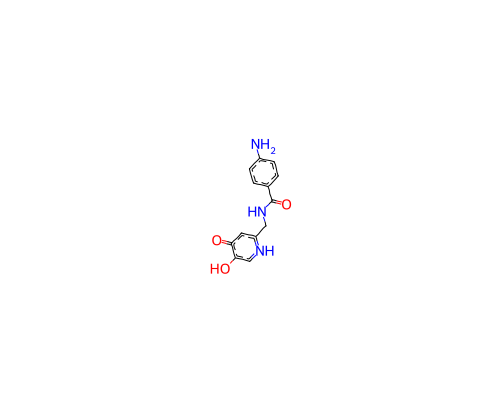 Nc1ccc(C(=O)NCc2cc(=O)c(O)c[nH]2)cc1